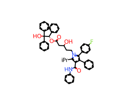 CC(C)c1c(C(=O)Nc2ccccc2)c(-c2ccccc2)c(-c2ccc(F)cc2)n1CCC(O)CC(=O)O[C@@H](c1ccccc1)C(O)(c1ccccc1)c1ccccc1